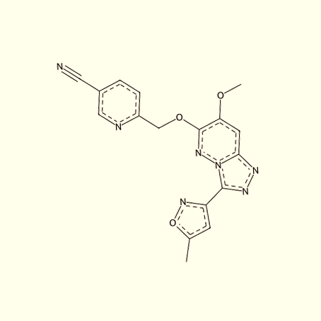 COc1cc2nnc(-c3cc(C)on3)n2nc1OCc1ccc(C#N)cn1